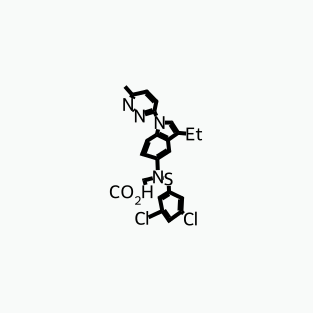 CCc1cn(-c2ccc(C)nn2)c2ccc(N(CC(=O)O)Sc3cc(Cl)cc(Cl)c3)cc12